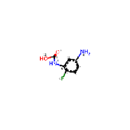 Nc1ccc(F)c(NC(=O)O)c1